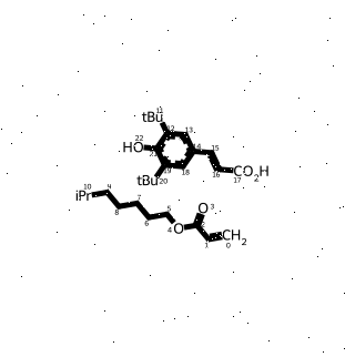 C=CC(=O)OCCCCCC(C)C.CC(C)(C)c1cc(C=CC(=O)O)cc(C(C)(C)C)c1O